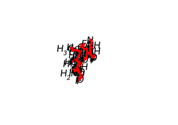 Cc1ccc(CCNC(=O)c2csc(CNC(=O)COc3ccc(OC(F)(F)F)cc3)n2)c(C)c1.Cc1ccc(F)cc1CNC(=O)c1csc(CNC(=O)COc2ccc(OC(F)(F)F)cc2)n1.Cc1cccc(CNC(=O)c2nc(CNC(=O)COc3ccc(OC(F)(F)F)cc3)sc2N2CSC=C2C(N)=O)c1C.O=C(COc1ccc(OC(F)(F)F)cc1)NCc1nc(C(=O)NCCc2ccncc2)cs1